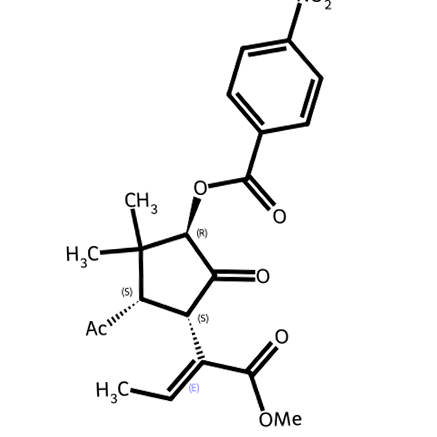 C/C=C(/C(=O)OC)[C@H]1C(=O)[C@H](OC(=O)c2ccc([N+](=O)[O-])cc2)C(C)(C)[C@H]1C(C)=O